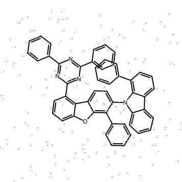 c1ccc(-c2nc(-c3ccccc3)nc(-c3cccc4oc5c(-c6ccccc6)c(-n6c7ccccc7c7cccc(-c8ccccc8)c76)ccc5c34)n2)cc1